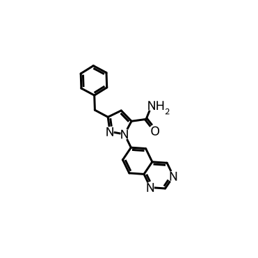 NC(=O)c1cc(Cc2ccccc2)nn1-c1ccc2ncncc2c1